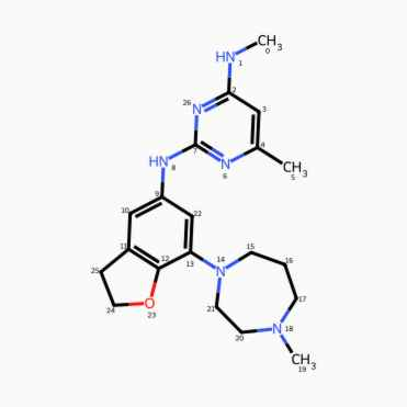 CNc1cc(C)nc(Nc2cc3c(c(N4CCCN(C)CC4)c2)OCC3)n1